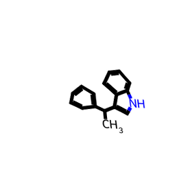 CC(c1ccccc1)c1c[nH]c2ccccc12